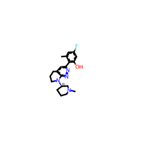 Cc1cc(F)cc(O)c1-c1cc2c(nn1)N([C@@H]1CCCN(C)C1)CCC2